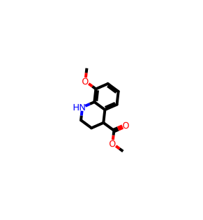 COC(=O)C1CCNc2c(OC)cccc21